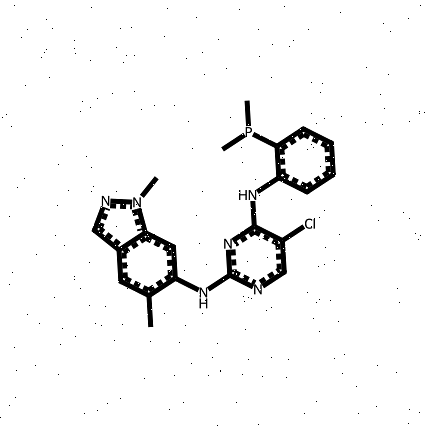 Cc1cc2cnn(C)c2cc1Nc1ncc(Cl)c(Nc2ccccc2P(C)C)n1